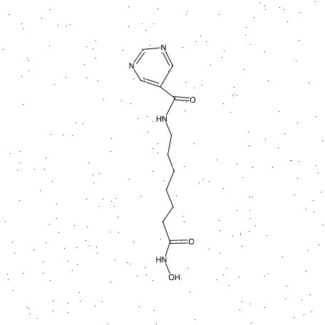 O=C(CCCCCCNC(=O)c1cncnc1)NO